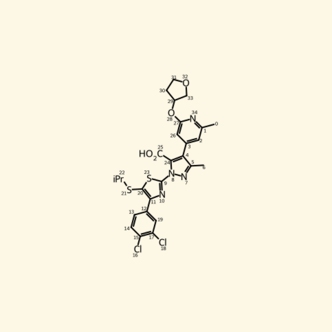 Cc1cc(-c2c(C)nn(-c3nc(-c4ccc(Cl)c(Cl)c4)c(SC(C)C)s3)c2C(=O)O)cc(OC2CCOC2)n1